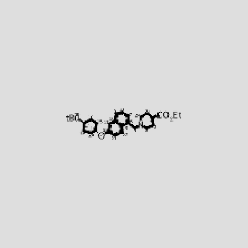 CCOC(=O)C1CCN(Cc2cccc3cc(O[C@H]4CC[C@H](C(C)(C)C)CC4)ccc23)CC1